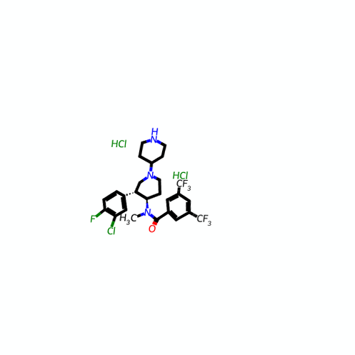 CN(C(=O)c1cc(C(F)(F)F)cc(C(F)(F)F)c1)[C@@H]1CCN(C2CCNCC2)C[C@H]1c1ccc(F)c(Cl)c1.Cl.Cl